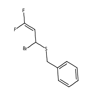 FC(F)=CC(Br)SCc1ccccc1